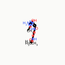 CCCCOc1nc(N)c2nc(O)n(Cc3ccc(C(=O)NCCOCCOCCNC(=O)OC(C)(C)C)cc3)c2n1